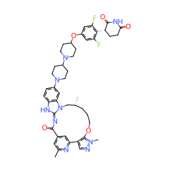 Cc1cc2cc(n1)-c1cnn(C)c1OCCC[C@@H](C)CN1/C(=N/C2=O)Nc2ccc(N3CCC(N4CCC(Oc5cc(F)c([C@H]6CCC(=O)NC6=O)c(F)c5)CC4)CC3)cc21